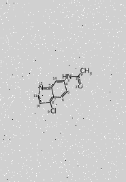 CC(=O)Nc1ccc2c(Cl)ccnc2c1